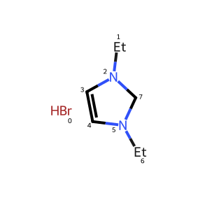 Br.CCN1C=CN(CC)C1